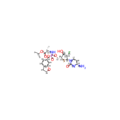 CC(C)OC(=O)[C@H](C)NP(=O)(OC[C@H]1S[C@@H](n2ccc(N)nc2=O)[C@@H](F)[C@@H]1O)Oc1ccc2c(c1)OCC2